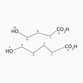 O=C(O)CCCCO.O=C(O)CCCO